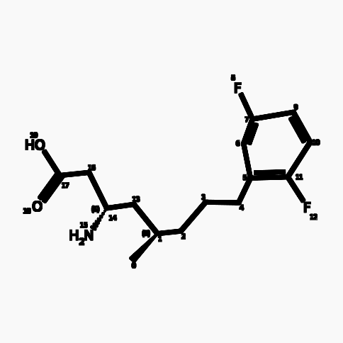 C[C@H](CCCc1cc(F)ccc1F)C[C@H](N)CC(=O)O